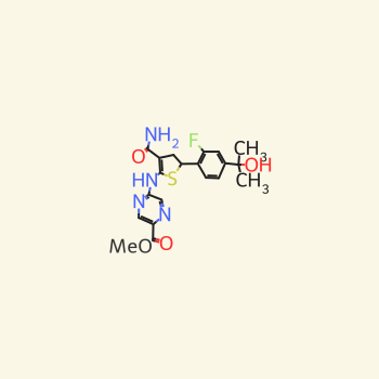 COC(=O)c1cnc(NC2=C(C(N)=O)CC(c3ccc(C(C)(C)O)cc3F)S2)cn1